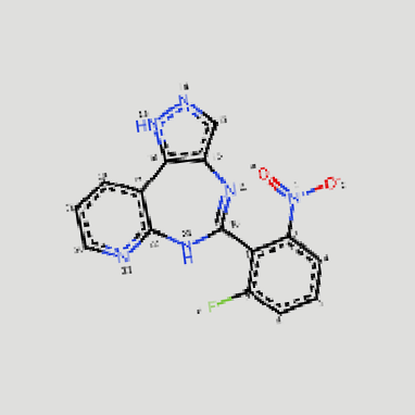 O=[N+]([O-])c1cccc(F)c1C1=Nc2cn[nH]c2-c2cccnc2N1